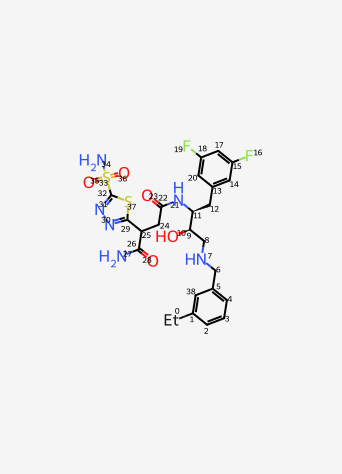 CCc1cccc(CNC[C@@H](O)[C@H](Cc2cc(F)cc(F)c2)NC(=O)CC(C(N)=O)c2nnc(S(N)(=O)=O)s2)c1